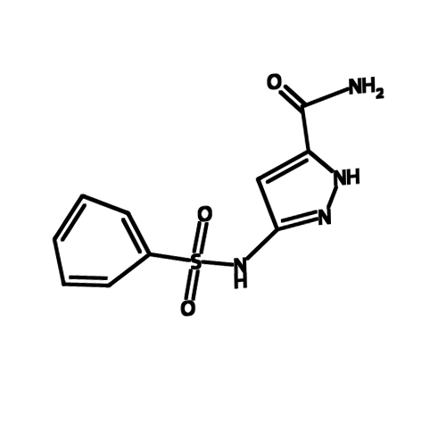 NC(=O)c1cc(NS(=O)(=O)c2ccccc2)n[nH]1